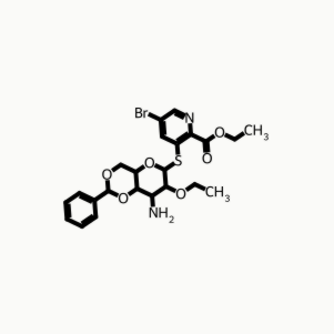 CCOC(=O)c1ncc(Br)cc1SC1OC2COC(c3ccccc3)OC2C(N)C1OCC